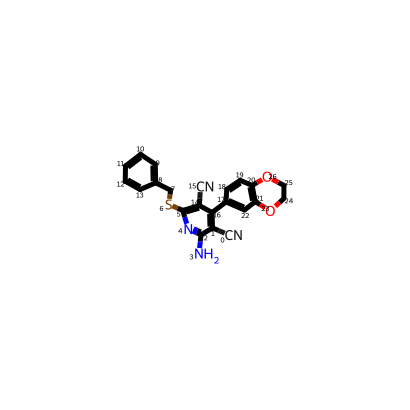 N#Cc1c(N)nc(SCc2ccccc2)c(C#N)c1-c1ccc2c(c1)OCCO2